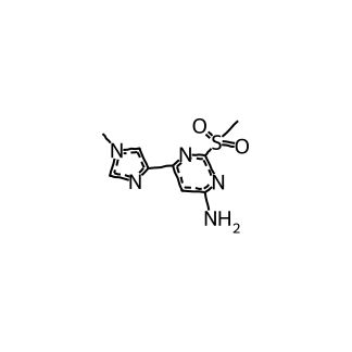 Cn1cnc(-c2cc(N)nc(S(C)(=O)=O)n2)c1